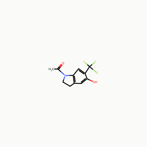 CC(=O)N1CCc2cc(O)c(C(F)(F)F)cc21